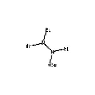 CCCCN(CC)N(CC)C(C)C